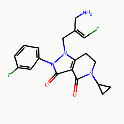 NCC(=CF)Cn1c2c(c(=O)n1-c1cccc(F)c1)C(=O)N(C1CC1)CC2